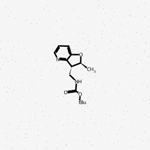 C[C@@H]1Oc2cccnc2[C@H]1CNC(=O)OC(C)(C)C